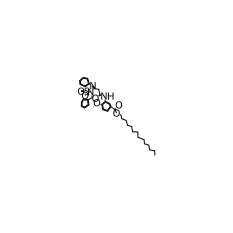 CCCCCCCCCCCCCCOC(=O)c1ccc(OC)c(NC(=O)CC2=Nc3ccccc3S(=O)(=O)N2Cc2ccccc2)c1